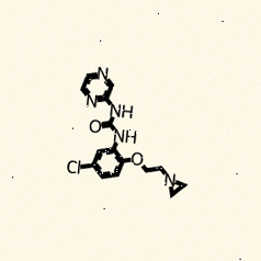 O=C(Nc1cnccn1)Nc1cc(Cl)ccc1OCCN1CC1